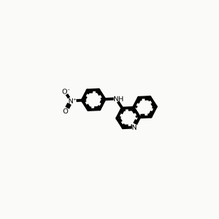 O=[N+]([O-])c1ccc(Nc2ccnc3ccccc23)cc1